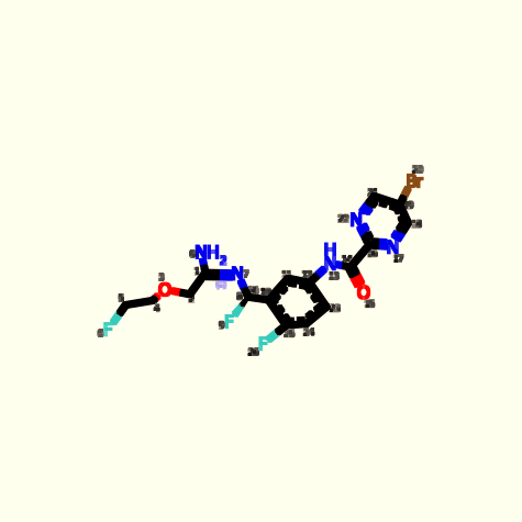 N/C(COCCF)=N/[C@H](F)c1cc(NC(=O)c2ncc(Br)cn2)ccc1F